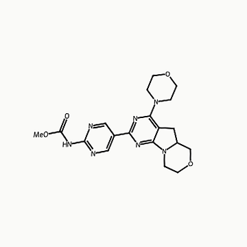 COC(=O)Nc1ncc(-c2nc(N3CCOCC3)c3c(n2)N2CCOCC2C3)cn1